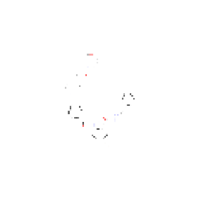 O=C(Nc1ccc(Br)cc1C(=O)NN=Cc1cccc(F)c1)c1ccc(CN2CCN(CC(=O)N3CCOCC3)CC2)cc1